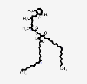 CCCCCCCC/C=C\CCCCCCCC(=O)C(=O)C(COC(=O)/C=C(/C)C=CC=C(C)C=CC1=C(C)CCCC1(C)C)C(=O)CCCCCCC/C=C\CCCCCCCC